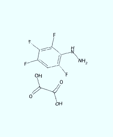 NNc1c(F)cc(F)c(F)c1F.O=C(O)C(=O)O